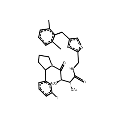 CC(=O)O[C@@H](C(=O)NCc1nc(Cc2c(C)cccc2C)cs1)[C@@H](OC(C)=O)C(=O)N1CCCC1c1cccc(F)c1